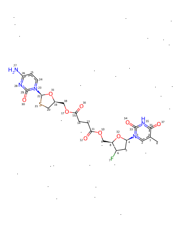 Cc1cn([C@H]2CC(F)[C@@H](COC(=O)CCC(=O)OC[C@H]3CS[C@@H](n4ccc(N)nc4=O)O3)O2)c(=O)[nH]c1=O